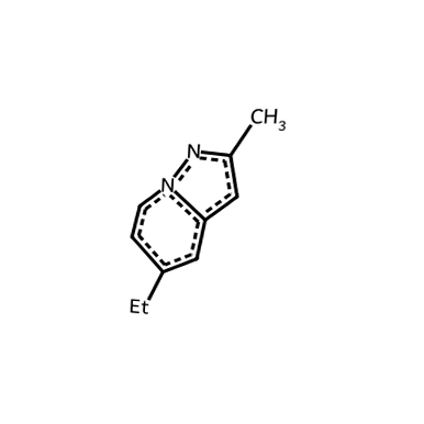 CCc1ccn2nc(C)cc2c1